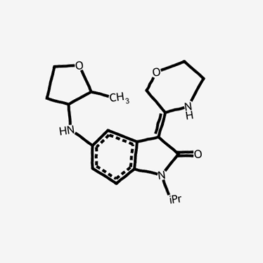 CC1OCCC1Nc1ccc2c(c1)/C(=C1\COCCN1)C(=O)N2C(C)C